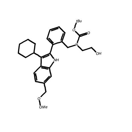 COOCc1ccc2c(C3CCCCC3)c(-c3ccccc3CN(CCO)C(=O)OC(C)(C)C)[nH]c2c1